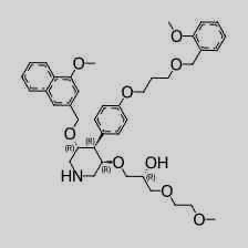 COCCOC[C@@H](O)CO[C@H]1CNC[C@H](OCc2cc(OC)c3ccccc3c2)[C@H]1c1ccc(OCCCOCc2ccccc2OC)cc1